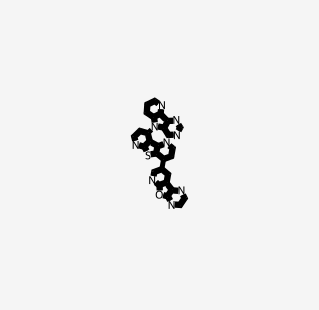 c1cnc2c3ncncc3n(-c3ccnc4sc5c(-c6cnc7oc8nccnc8c7c6)ccnc5c34)c2c1